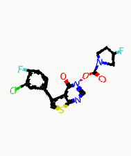 O=C(On1cnc2scc(-c3ccc(F)c(Cl)c3)c2c1=O)N1CCC(F)C1